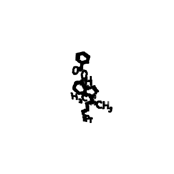 CC(C)CCC[C@@H](C)[C@H]1CC[C@H]2[C@@H](OC(=O)c3ccccc3)CCC[C@]12C